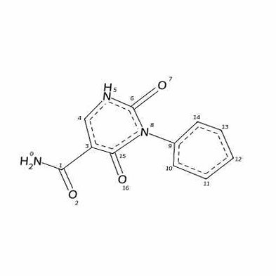 NC(=O)c1c[nH]c(=O)n(-c2ccccc2)c1=O